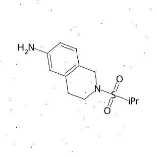 CC(C)S(=O)(=O)N1CCc2cc(N)ccc2C1